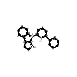 c1ccc(-c2cccc(-n3c4ccccc4c4ccoc43)n2)cc1